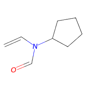 C=CN(C=O)C1CCCC1